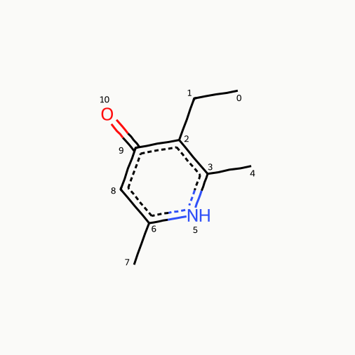 CCc1c(C)[nH]c(C)cc1=O